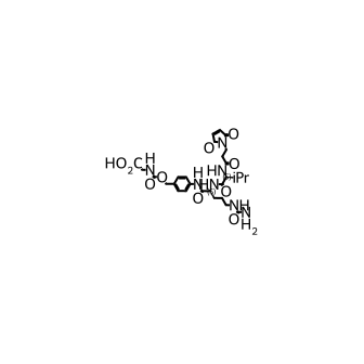 CC(C)[C@H](NC(=O)CCN1C(=O)C=CC1=O)C(=O)N[C@@H](CCCNC(N)=O)C(=O)Nc1ccc(COC(=O)NCC(=O)O)cc1